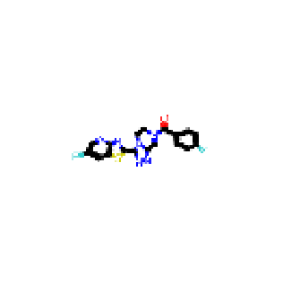 O=C(c1ccc(F)cc1)N1CCn2c(nnc2-c2nc3ncc(F)cc3s2)C1